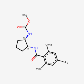 COc1cc(C(F)(F)F)cc(SC)c1C(=O)N[C@@H]1CCC[C@H]1NC(=O)OC(C)(C)C